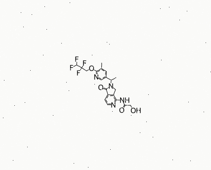 Cc1cc(C(C)N2Cc3c(ccnc3NC(=O)CO)C2=O)cnc1OCC(F)(F)C(F)F